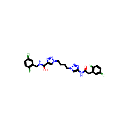 O=C(Cc1cc(Cl)ccc1F)Nc1cn(CCCCn2cc(C(O)NCc3cc(Cl)ccc3F)nn2)nn1